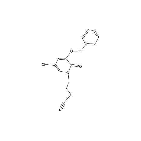 N#CCCCn1cc(Cl)cc(OCc2ccccc2)c1=O